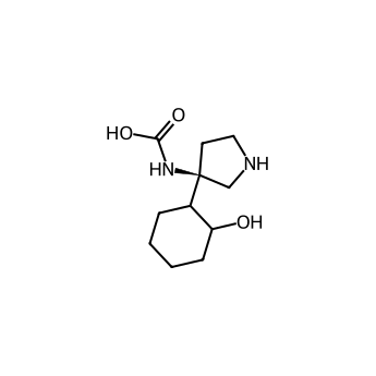 O=C(O)N[C@@]1(C2CCCCC2O)CCNC1